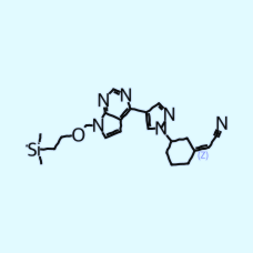 C[Si](C)(C)CCOCn1ccc2c(-c3cnn(C4CCC/C(=C/C#N)C4)c3)ncnc21